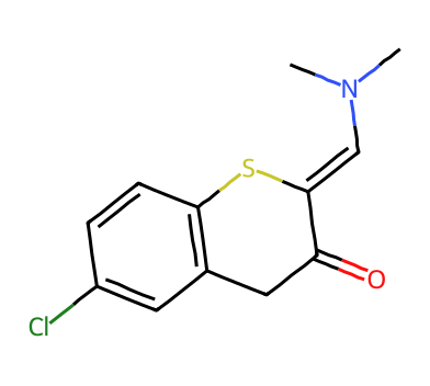 CN(C)C=C1Sc2ccc(Cl)cc2CC1=O